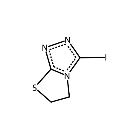 Ic1nnc2n1CCS2